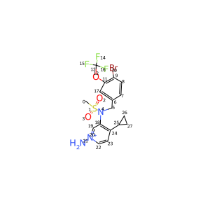 CS(=O)(=O)N(Cc1ccc(Br)c(OC(F)(F)F)c1)c1c[n+](N)ccc1C1CC1